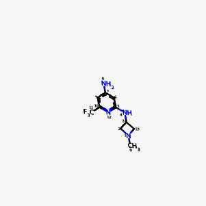 CN1CC(Nc2cc(N)cc(C(F)(F)F)n2)C1